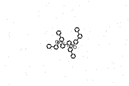 O=P(c1ccc(-c2cccc(-c3ccccc3)c2)cc1)(c1cccc(-c2ccccc2)c1)c1cccc(-c2cccc(P(=O)(c3cccc(-c4ccccc4)c3)c3cccc(-c4ccccc4)c3)n2)n1